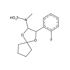 CN(C1OC2(CCCC2)OC1c1ccccc1F)S(=O)(=O)O